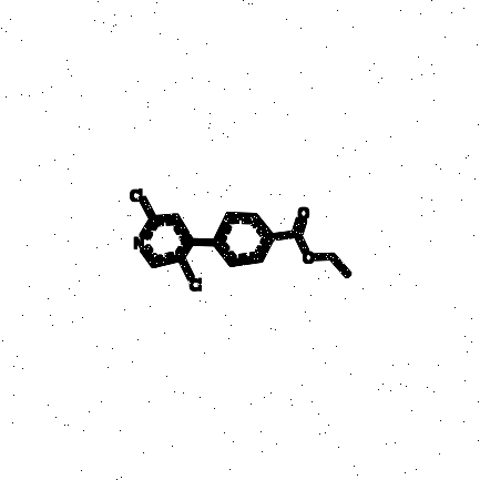 CCOC(=O)c1ccc(-c2cc(Cl)ncc2Cl)cc1